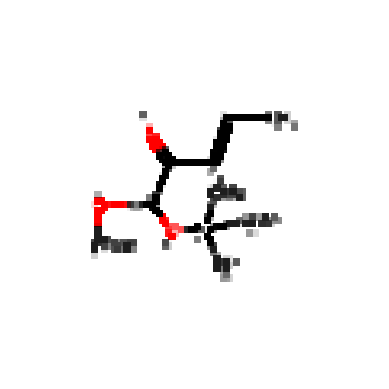 CC=CC(=O)C(OCCCCC)O[Si](CCC)(OC)OC